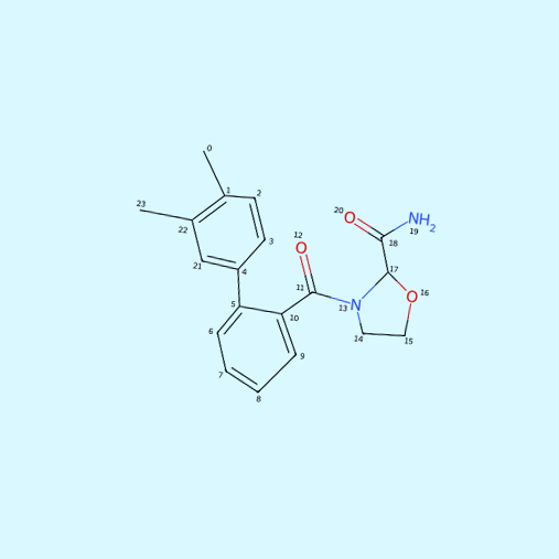 Cc1ccc(-c2ccccc2C(=O)N2CCOC2C(N)=O)cc1C